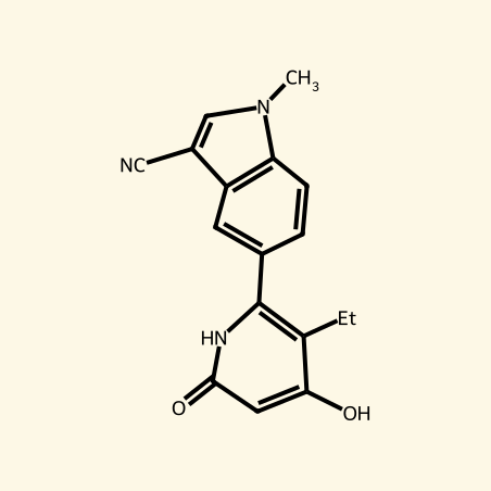 CCc1c(O)cc(=O)[nH]c1-c1ccc2c(c1)c(C#N)cn2C